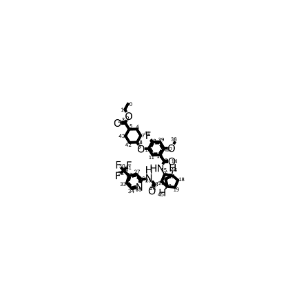 CCOC(=O)C1CCC(Oc2cc(C(=O)N[C@@H]3[C@H]4CC[C@H](C4)[C@@H]3C(=O)Nc3cc(C(F)(F)F)ccn3)c(OC)cc2F)CC1